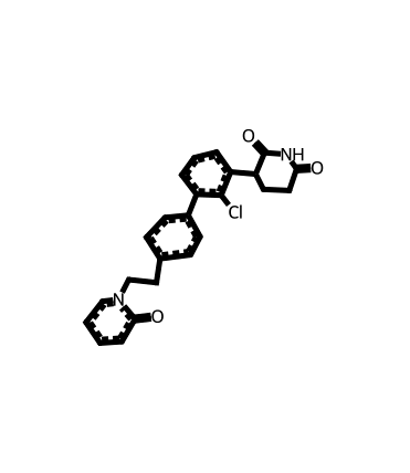 O=C1CCC(c2cccc(-c3ccc(CCn4ccccc4=O)cc3)c2Cl)C(=O)N1